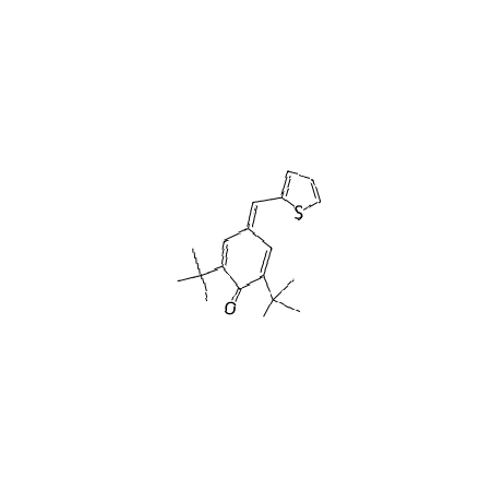 CC(C)(C)C1=CC(=Cc2cccs2)C=C(C(C)(C)C)C1=O